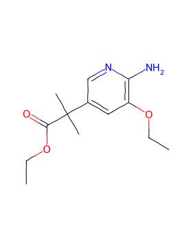 CCOC(=O)C(C)(C)c1cnc(N)c(OCC)c1